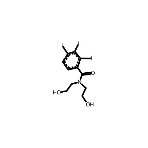 O=C(c1ccc(I)c(I)c1I)N(CCO)CCO